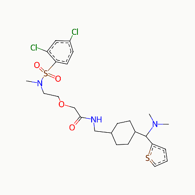 CN(C)C(c1cccs1)C1CCC(CNC(=O)COCCN(C)S(=O)(=O)c2ccc(Cl)cc2Cl)CC1